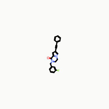 O=C1c2cc(C#Cc3ccccc3)cn2CCN1Cc1cccc(F)c1